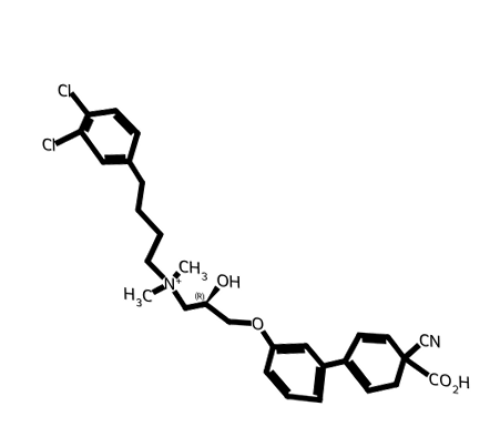 C[N+](C)(CCCCc1ccc(Cl)c(Cl)c1)C[C@@H](O)COc1cccc(C2=CCC(C#N)(C(=O)O)C=C2)c1